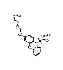 COCCOCOc1ccc2c(c1)Oc1ccccc1C2C(C)(C)C(=O)OC